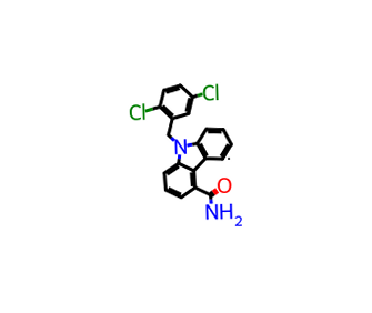 NC(=O)c1cccc2c1c1[c]cccc1n2Cc1cc(Cl)ccc1Cl